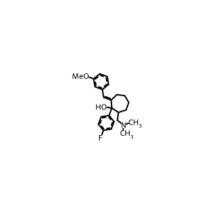 COc1cccc(C=C2CCCCC(CN(C)C)C2(O)c2ccc(F)cc2)c1